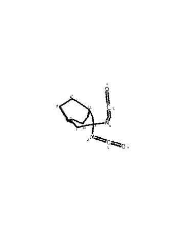 O=C=NC1(N=C=O)CC2CCC1C2